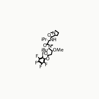 CC[C@H](C)[C@@H]([C@@H](CC(=O)Oc1c(F)c(F)c(F)c(F)c1F)OC)N(C)C(=O)[C@@H](NC(=O)[C@]1(C)CCCN1C)C(C)C